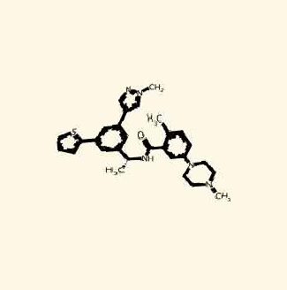 Cc1ccc(N2CCN(C)CC2)cc1C(=O)N[C@H](C)c1cc(-c2cnn(C)c2)cc(-c2cccs2)c1